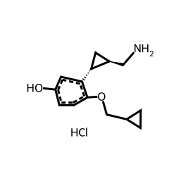 Cl.NC[C@@H]1C[C@H]1c1cc(O)ccc1OCC1CC1